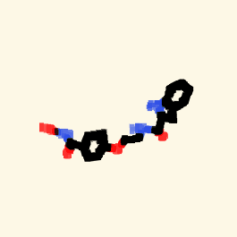 O=C(NO)c1ccc(OCCNC(=O)c2cc3ccccc3[nH]2)cc1